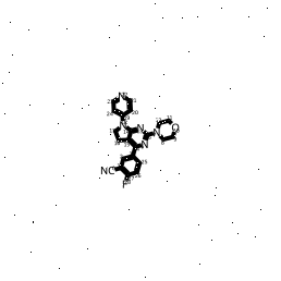 N#Cc1cc(-c2nc(N3CCOCC3)nc3c2CCN3c2ccncc2)ccc1F